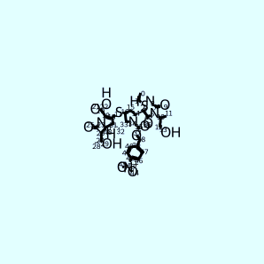 CCSC(C(=O)N(C(N)=O)C(C)CO)[C@@H]1C[C@H](SC2=C(C(=O)O)N3C(=O)[C@H]([C@@H](C)O)[C@H]3[C@H]2C)CN1C(=O)OCc1ccc([N+](=O)[O-])cc1